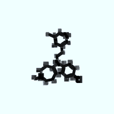 Cc1cncc(CCn2c3c(c4cc(Cl)ccc42)CCN(C)CC3)c1